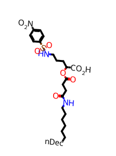 CCCCCCCCCCCCCCCCNC(=O)CCC(=O)OC(CCCNS(=O)(=O)c1ccc([N+](=O)[O-])cc1)C(=O)O